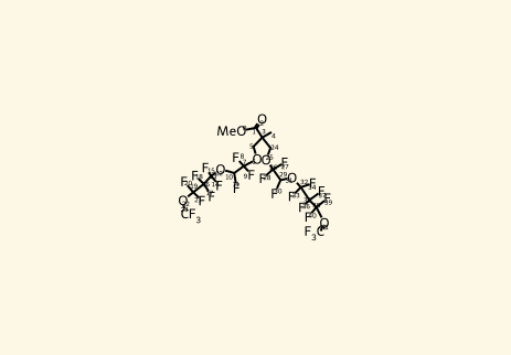 COC(=O)C(C)(COC(F)(F)C(F)OC(F)(F)C(F)(F)C(F)(F)OC(F)(F)F)COC(F)(F)C(F)OC(F)(F)C(F)(F)C(F)(F)OC(F)(F)F